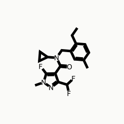 CCc1ccc(C)cc1CN(C(=O)c1c(C(F)F)nn(C)c1F)C1CC1